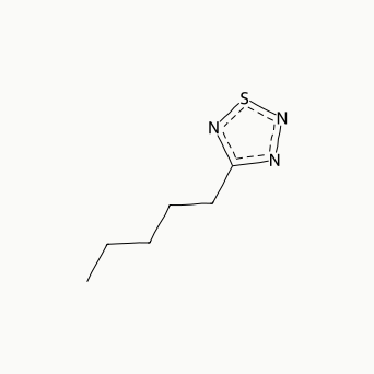 CCCCCc1nnsn1